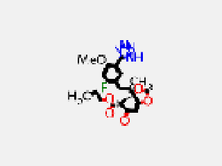 C=CCOC(=O)[C@@H]1C[C@]2([C@@H](C)Cc3cc(-c4nnn[nH]4)c(OC)cc3F)OCOC2=CC1=O